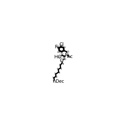 CCCCCCCCCCCCCCCCCCOC[C@H](CO)N(Cc1ccc(F)c(Cl)c1)C(C)=O